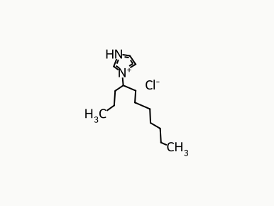 CCCCCCCC(CCC)[n+]1cc[nH]c1.[Cl-]